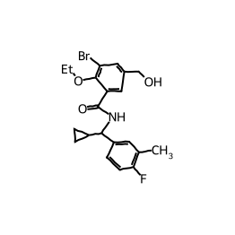 CCOc1c(Br)cc(CO)cc1C(=O)NC(c1ccc(F)c(C)c1)C1CC1